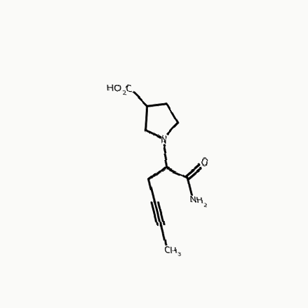 CC#CCC(C(N)=O)N1CCC(C(=O)O)C1